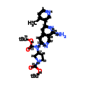 Cc1ccncc1-c1cc2cc(N(C(=O)OC(C)(C)C)C3CCN(C(=O)OC(C)(C)C)C3)ncc2c(N)n1